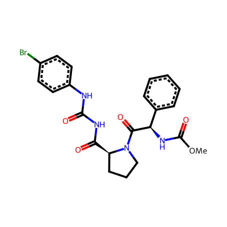 COC(=O)N[C@@H](C(=O)N1CCC[C@H]1C(=O)NC(=O)Nc1ccc(Br)cc1)c1ccccc1